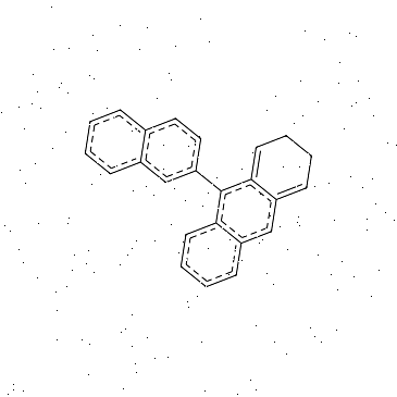 C1=c2cc3ccccc3c(-c3ccc4ccccc4c3)c2=CCC1